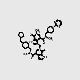 CN(CC1CCN(CC2CCOC2)CC1)C(=O)c1cn(Cc2c[nH]c3c(=O)n(C)cc(C(=O)N(C)CC4CCN(c5ncccn5)CC4)c23)c(=O)c2[nH]ccc12